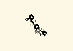 NS(=O)(=O)c1cc(NC(=O)Cc2ccccc2Cl)ccc1OC[C@H]1[C@@H]2COC[C@@H]21